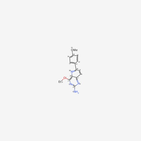 CCOc1nc(N)nc2ccc(-c3ccc(OC)cc3)nc12